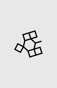 CC1C23CCC2CC3C2(CCC2)C2CC3CCC321